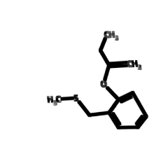 C=C(CC)Oc1ccccc1CSC